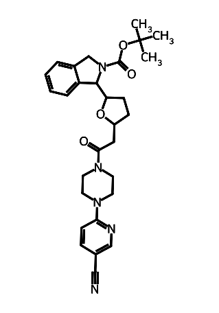 CC(C)(C)OC(=O)N1Cc2ccccc2C1C1CCC(CC(=O)N2CCN(c3ccc(C#N)cn3)CC2)O1